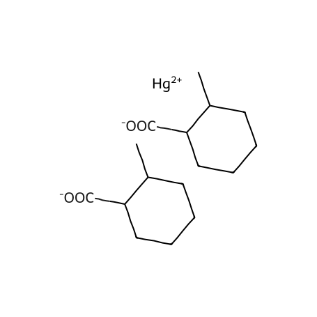 CC1CCCCC1C(=O)[O-].CC1CCCCC1C(=O)[O-].[Hg+2]